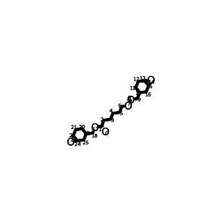 O=C(CCCCCOOCC1CCC2OC2C1)OCC1CCC2OC2C1